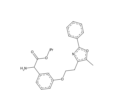 Cc1oc(-c2ccccc2)nc1CCOc1[c]c(C(N)C(=O)OC(C)C)ccc1